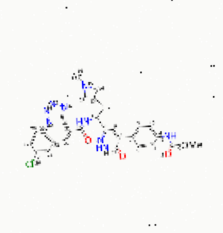 COC(=O)Nc1ccc(-c2cc(C(CC3CN(C(C)=O)C3)NC(=O)/C=C/c3cc(Cl)ccc3-n3cnnn3)n[nH]c2=O)cc1